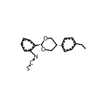 CCc1ccc([C@H]2CO[C@H](c3ccccc3N=C=S)OC2)cc1